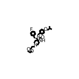 CC(C)COc1ccc(CN2C(=O)NC3(CCN(CCC4OCCO4)CC3)[C@H]2Cc2ccc(F)cc2)cc1